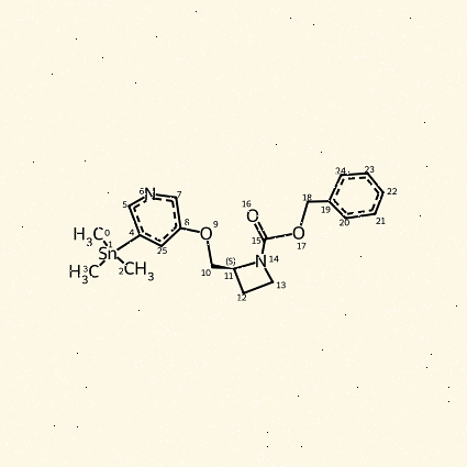 [CH3][Sn]([CH3])([CH3])[c]1cncc(OC[C@@H]2CCN2C(=O)OCc2ccccc2)c1